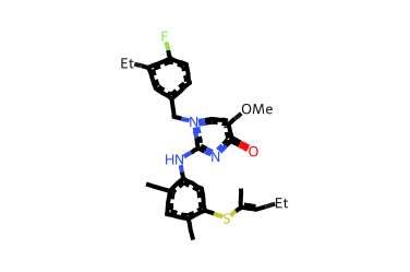 CC/C=C(\C)Sc1cc(Nc2nc(=O)c(OC)cn2Cc2ccc(F)c(CC)c2)c(C)cc1C